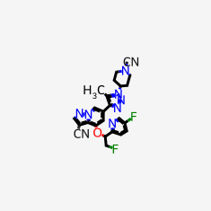 Cc1c(-c2cc(OC(CF)c3ccc(F)cn3)c3c(C#N)cnn3c2)nnn1C1CCN(C#N)CC1